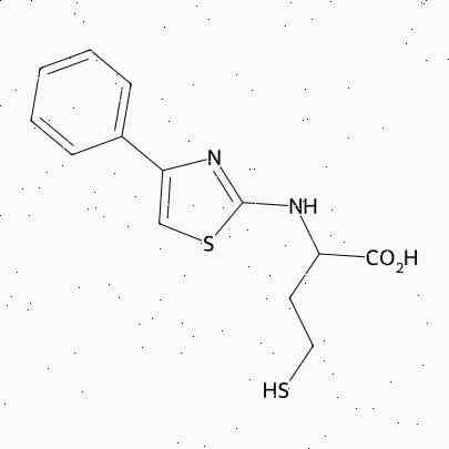 O=C(O)C(CCS)Nc1nc(-c2ccccc2)cs1